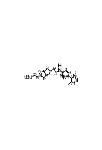 Cc1cnn(C)c1-c1ccc(NCCC2CC3CN(CCC(C)(C)C)CC3C2)nn1